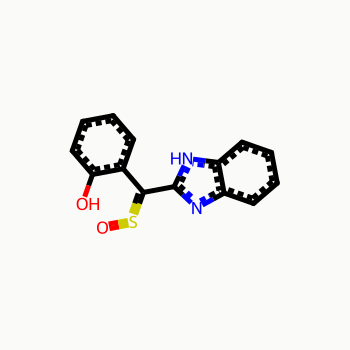 O=S=C(c1nc2ccccc2[nH]1)c1ccccc1O